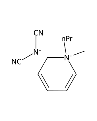 CCC[N+]1(C)C=CC=CC1.N#C[N-]C#N